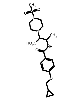 CC(NC(=O)c1ccc(OCC2CC2)cc1)C(C(=O)O)N1CCN(S(C)(=O)=O)CC1